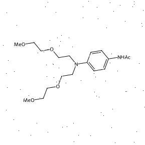 COCCOCCN(CCOCCOC)c1ccc(NC(C)=O)cc1